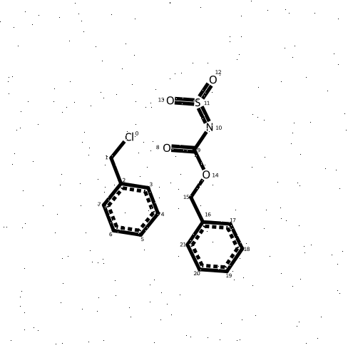 ClCc1ccccc1.O=C(N=S(=O)=O)OCc1ccccc1